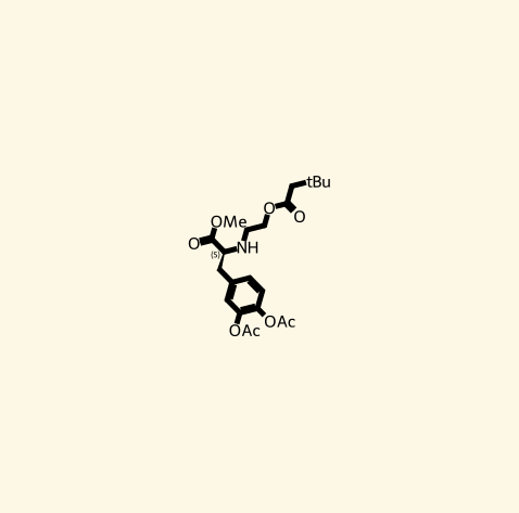 COC(=O)[C@H](Cc1ccc(OC(C)=O)c(OC(C)=O)c1)NCCOC(=O)CC(C)(C)C